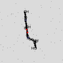 O=C(NCSCCSC/N=C\OOCSCCSCSC(=O)NCSCCSC/N=C/OOCSCSCO)OCSCSCO